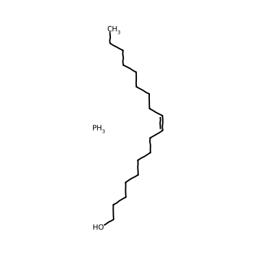 CCCCCCCC/C=C\CCCCCCCCO.P